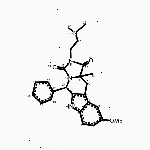 COc1ccc2[nH]c3c(c2c1)CC1(C)C(=O)N(CCN(C)C)C(=O)N1C3c1ccccc1